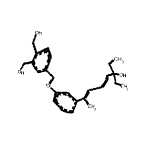 CCC(O)(C=CC=C(C)c1cccc(OCc2ccc(CO)c(CO)c2)c1)CC